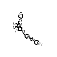 O=c1[nH]c(COC2CCOCC2)nc2cc(OCC3CCN(C4CN(C5CCNCC5)C4)CC3)cc(F)c12